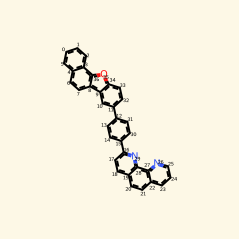 c1ccc2c(c1)ccc1c3cc(-c4ccc(-c5ccc6ccc7cccnc7c6n5)cc4)ccc3oc21